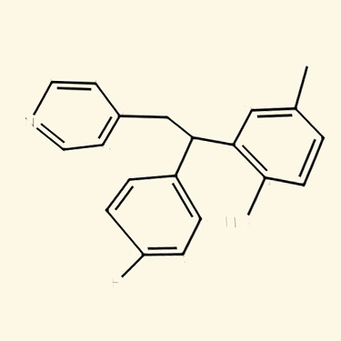 Cc1ccc(O)c(C(Cc2ccncc2)c2ccc(F)cc2)c1